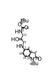 CCC(C)N1C(=O)Cc2cc(NC[C@@H](O)CNC(=O)OC(C)(C)C)ccc21